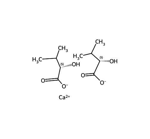 CC(C)[C@H](O)C(=O)[O-].CC(C)[C@H](O)C(=O)[O-].[Ca+2]